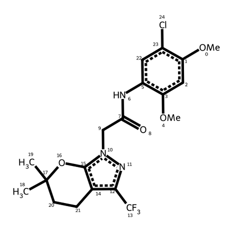 COc1cc(OC)c(NC(=O)Cn2nc(C(F)(F)F)c3c2OC(C)(C)CC3)cc1Cl